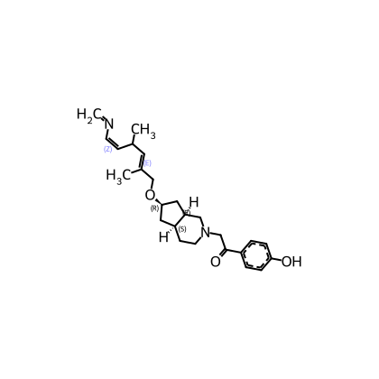 C=N/C=C\C(C)/C=C(\C)CO[C@@H]1C[C@@H]2CCN(CC(=O)c3ccc(O)cc3)C[C@@H]2C1